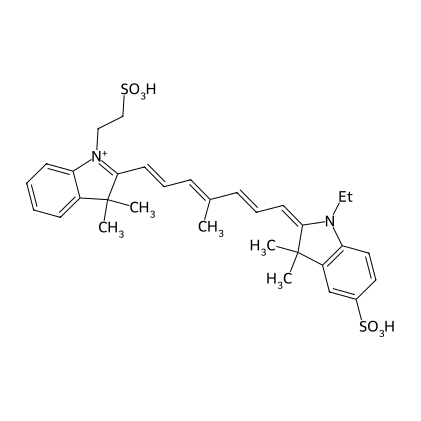 CCN1/C(=C/C=C/C(C)=C/C=C/C2=[N+](CCS(=O)(=O)O)c3ccccc3C2(C)C)C(C)(C)c2cc(S(=O)(=O)O)ccc21